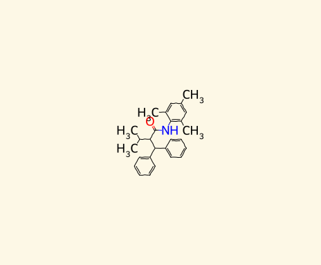 Cc1cc(C)c(NC(=O)C(C(C)C)C(c2ccccc2)c2ccccc2)c(C)c1